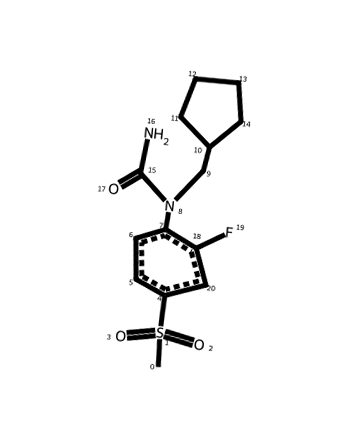 CS(=O)(=O)c1ccc(N(CC2CCCC2)C(N)=O)c(F)c1